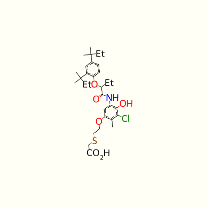 CCC(Oc1ccc(C(C)(C)CC)cc1C(C)(C)CC)C(=O)Nc1cc(OCCSCC(=O)O)c(C)c(Cl)c1O